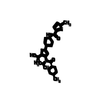 CC1C=CC(C(=O)NC2C=CC(c3cc(N(C(=O)[C@H]4CC[C@H](C)CC4)C(C)C)c(C(=O)O)s3)=CC2)=N1